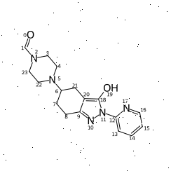 O=CN1CCN(C2CCc3nn(-c4ccccn4)c(O)c3C2)CC1